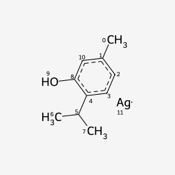 Cc1ccc(C(C)C)c(O)c1.[Ag]